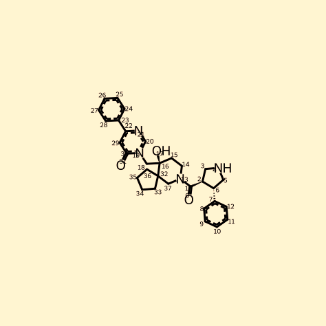 O=C([C@H]1CNC[C@@H]1c1ccccc1)N1CC[C@@](O)(Cn2cnc(-c3ccccc3)cc2=O)C2(CCCC2)C1